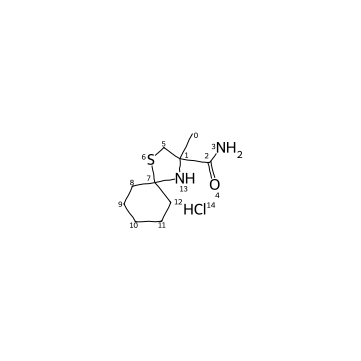 CC1(C(N)=O)CSC2(CCCCC2)N1.Cl